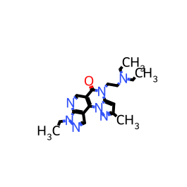 CCN(CC)CCn1c(=O)c2cnc3c(cnn3CC)c2n2nc(C)cc12